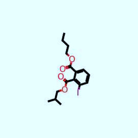 CCCCOC(=O)c1cccc(I)c1C(=O)OCC(C)C